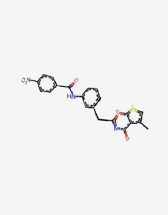 Cc1csc2oc(Cc3cccc(NC(=O)c4ccc([N+](=O)[O-])cc4)c3)nc(=O)c12